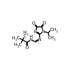 CC(C)N1C(=O)C(=O)N=C1/N=C\NC(=O)C(C)(C)C